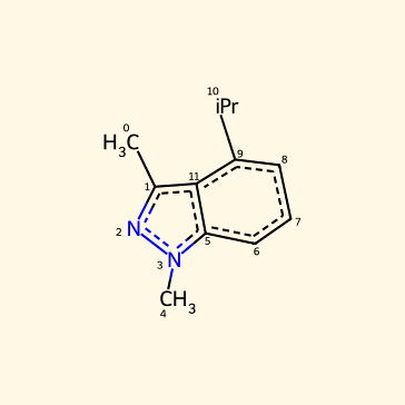 Cc1nn(C)c2cccc(C(C)C)c12